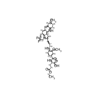 CCOC(=O)CCC(NC(=O)c1ccc(NCC#Cc2cc3c(N[C@@H]4CCN(C)C[C@@H]4F)cccc3n2CC(F)(F)F)c(OC)c1)C(=O)O